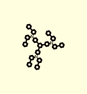 c1ccc(-c2cccc(N(c3ccc(-c4cc(-c5ccc(N(c6cccc(-c7ccccc7)c6)c6cccc(-c7ccccc7)c6)cc5)cc(-c5ccc(N(c6cccc(-c7ccccc7)c6)c6cccc(-c7ccccc7)c6)cc5)c4)cc3)c3cccc(-c4ccccc4)c3)c2)cc1